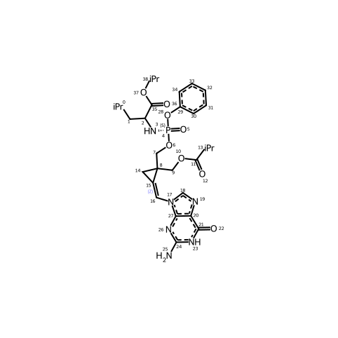 CC(C)CC(N[P@](=O)(OCC1(COC(=O)C(C)C)C/C1=C/n1cnc2c(=O)[nH]c(N)nc21)Oc1ccccc1)C(=O)OC(C)C